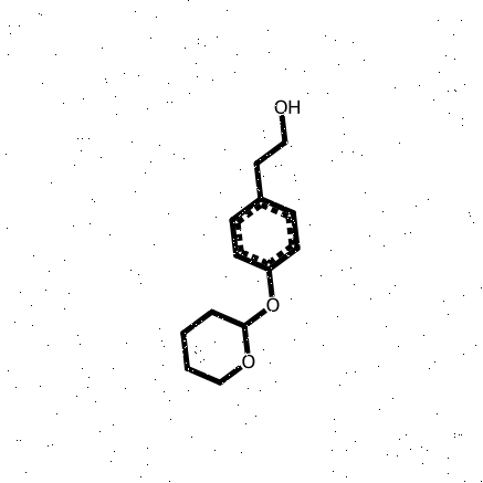 OCCc1ccc(OC2CCCCO2)cc1